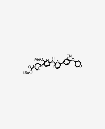 COc1nc(Nc2nccc(-c3ccc(OC4CCOCC4)c(C#N)c3)n2)ccc1N1CCN(C(=O)OC(C)(C)C)CC1